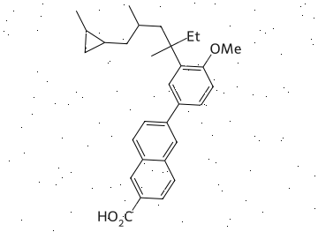 CCC(C)(CC(C)CC1CC1C)c1cc(-c2ccc3cc(C(=O)O)ccc3c2)ccc1OC